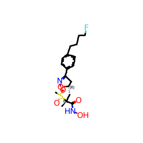 C[C@@](C[C@H]1CC(c2ccc(CCCCF)cc2)=NO1)(C(=O)NO)S(C)(=O)=O